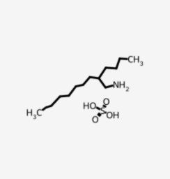 CCCCCCCCC(CN)CCCC.O=S(=O)(O)O